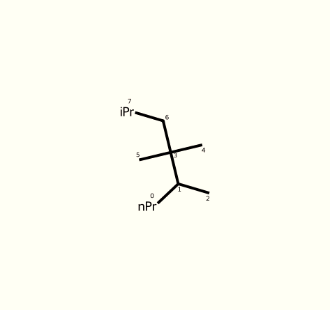 CCCC(C)C(C)(C)CC(C)C